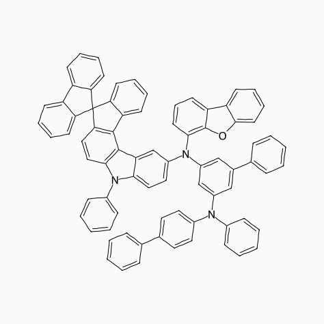 c1ccc(-c2ccc(N(c3ccccc3)c3cc(-c4ccccc4)cc(N(c4ccc5c(c4)c4c6c(ccc4n5-c4ccccc4)C4(c5ccccc5-c5ccccc54)c4ccccc4-6)c4cccc5c4oc4ccccc45)c3)cc2)cc1